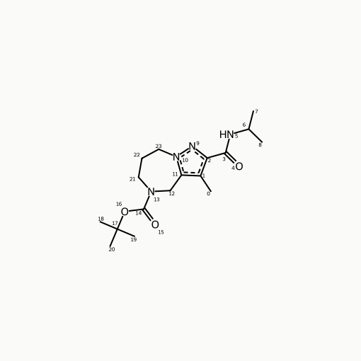 Cc1c(C(=O)NC(C)C)nn2c1CN(C(=O)OC(C)(C)C)CCC2